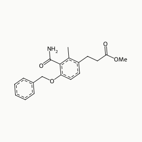 COC(=O)CCc1ccc(OCc2ccccc2)c(C(N)=O)c1C